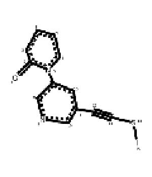 O=c1ccccn1-c1cncc(C#CSI)c1